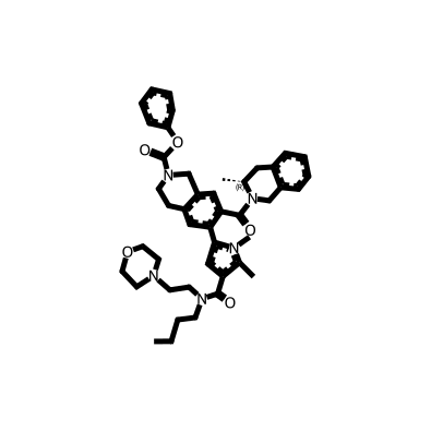 CCCCN(CCN1CCOCC1)C(=O)c1cc(-c2cc3c(cc2C(=O)N2Cc4ccccc4C[C@H]2C)CN(C(=O)Oc2ccccc2)CC3)n(C)c1C